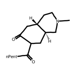 CCCCCC(=O)C1C[C@@H]2CN(C)CC[C@H]2CC1=O